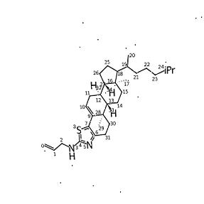 C=CCNc1nc2c(s1)C1=CC[C@@H]3[C@H](CC[C@]4(C)C(C(C)CCCC(C)C)CC[C@@H]34)[C@@]1(C)CC2